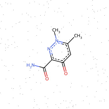 Cc1cc(=O)c(C(N)=O)nn1C